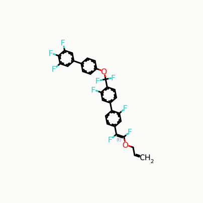 C=CCO/C(F)=C(\F)c1ccc(-c2ccc(C(F)(F)Oc3ccc(-c4cc(F)c(F)c(F)c4)cc3)c(F)c2)c(F)c1